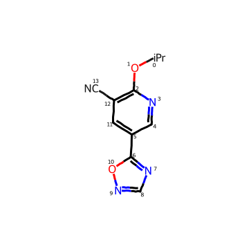 CC(C)Oc1ncc(-c2ncno2)cc1C#N